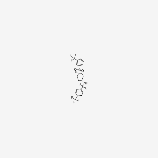 O=S(=O)(N[C@H]1CC[C@](F)(S(=O)(=O)c2cccc(C(F)(F)F)c2)CC1)c1ccc(C(F)(F)F)cc1